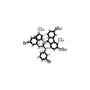 CC(C)(C)c1ccc2c(c1)-c1cc(C(C)(C)C)ccc1[CH]2[Zr+2]([C]1=CC=CC1)=[C](Cc1cccc(Br)c1)Cc1cccc(Br)c1.[Cl-].[Cl-]